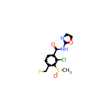 C[S+]([O-])c1c(CF)ccc(C(=O)Nc2ncco2)c1Cl